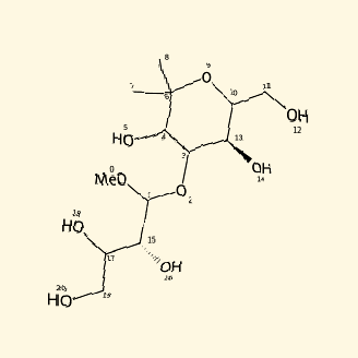 COC(OC1C(O)C(C)(C)OC(CO)[C@H]1O)[C@H](O)C(O)CO